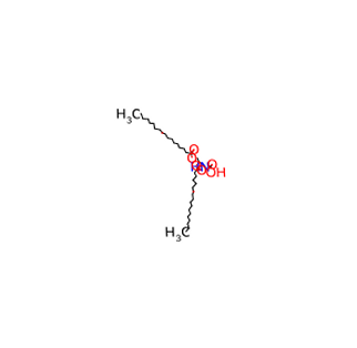 CCCCCCCCCCCCCCCCCC(=O)OCC(CNC(=O)O)OC(=O)CCCCCCCCCCCCCCCCC